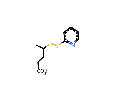 CC(CCC(=O)O)SSc1ccccn1